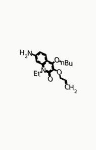 C=CCOc1c(OCCCC)c2ccc(N)cc2n(CC)c1=O